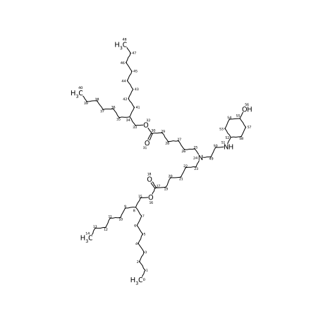 CCCCCCCCC(CCCCCC)COC(=O)CCCCCN(CCCCCC(=O)OCC(CCCCCC)CCCCCCCC)CCNC1CCC(O)CC1